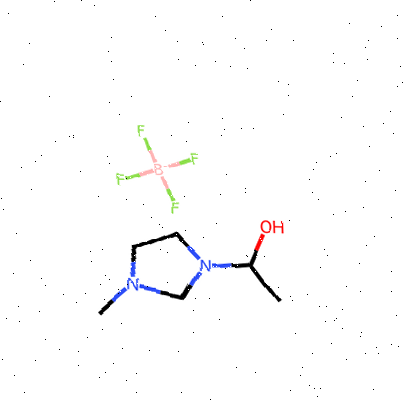 CC(O)N1CCN(C)C1.F[B-](F)(F)F